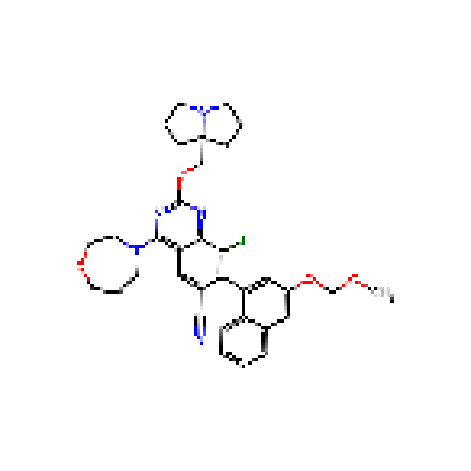 COCOc1cc(-c2c(C#N)cc3c(N4CCCOCC4)nc(OCC45CCCN4CCC5)nc3c2F)c2ccccc2c1